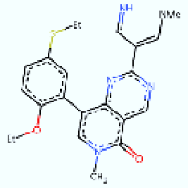 CCOc1ccc(SCC)cc1-c1cn(C)c(=O)c2cnc(/C(C=N)=C/NC)nc12